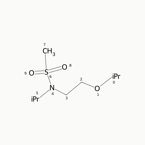 CC(C)OCCN(C(C)C)S(C)(=O)=O